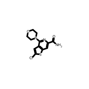 NC(=O)c1cc2sc(Cl)cc2c(N2CCOCC2)n1